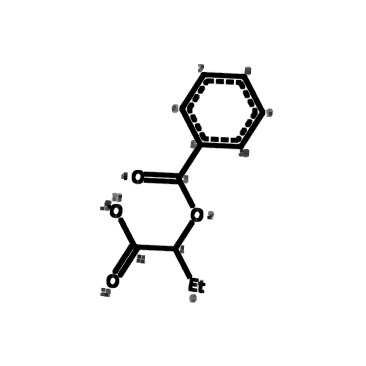 CCC(OC(=O)c1ccccc1)C(=O)[5O]